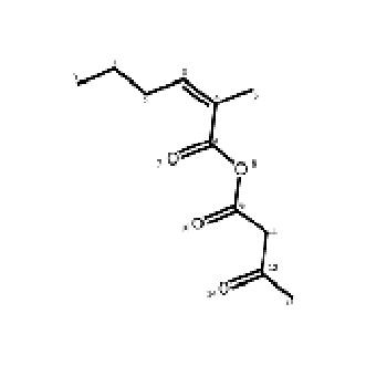 CCCC=C(C)C(=O)OC(=O)CC(C)=O